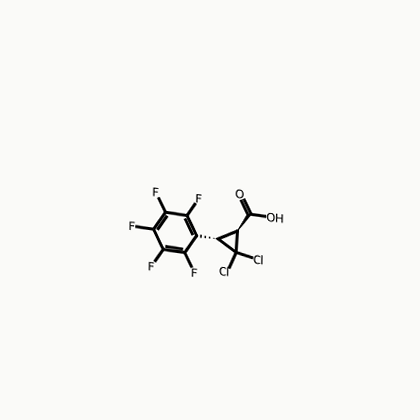 O=C(O)[C@@H]1[C@@H](c2c(F)c(F)c(F)c(F)c2F)C1(Cl)Cl